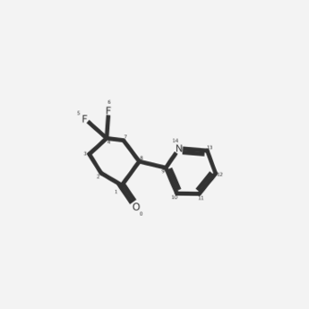 O=C1CCC(F)(F)CC1c1ccccn1